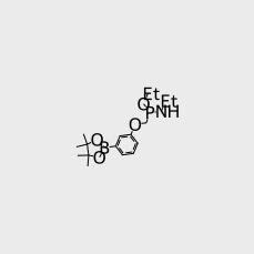 CCNP(COc1cccc(B2OC(C)(C)C(C)(C)O2)c1)OCC